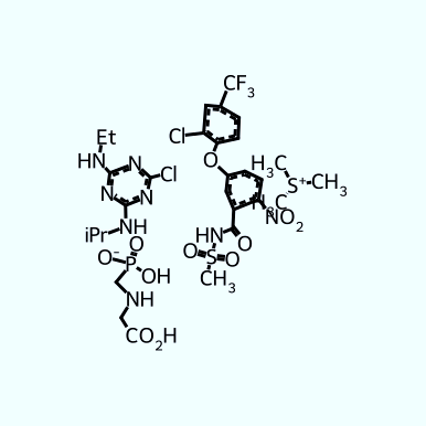 CCNc1nc(Cl)nc(NC(C)C)n1.CS(=O)(=O)NC(=O)c1cc(Oc2ccc(C(F)(F)F)cc2Cl)ccc1[N+](=O)[O-].C[S+](C)C.O=C(O)CNCP(=O)([O-])O